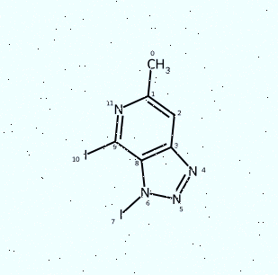 Cc1cc2nnn(I)c2c(I)n1